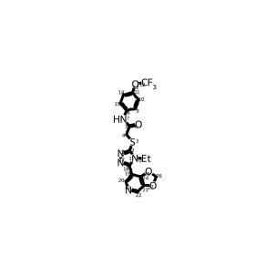 CCn1c(SCC(=O)Nc2ccc(OC(F)(F)F)cc2)nnc1-c1cncc2c1OCO2